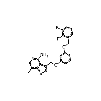 Cc1cnc(N)c2c(COc3cccc(OCc4cccc(F)c4F)c3)csc12